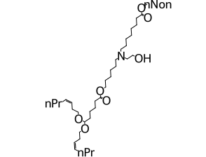 CCC/C=C\CCOC(CCCCC(=O)OCCCCCCN(CCO)CCCCCCCC(=O)OCCCCCCCCC)OCC/C=C\CCC